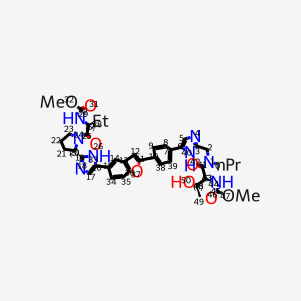 CCCN(Cc1ncc(-c2ccc(-c3cc4cc(-c5cnc([C@@H]6CCCN6C(=O)[C@H](CC)NC(=O)OC)[nH]5)ccc4o3)cc2)[nH]1)C(=O)[C@@H](NC(=O)OC)[C@@H](C)O